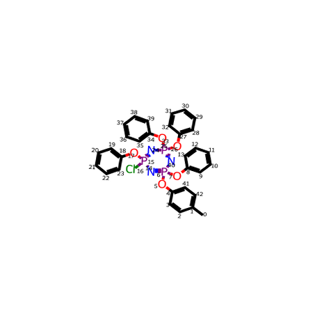 Cc1ccc(OP2(Oc3ccccc3)=NP(Cl)(Oc3ccccc3)=NP(Oc3ccccc3)(Oc3ccccc3)=N2)cc1